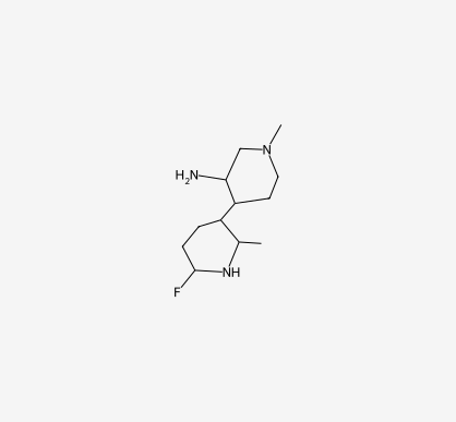 CC1NC(F)CCC1C1CCN(C)CC1N